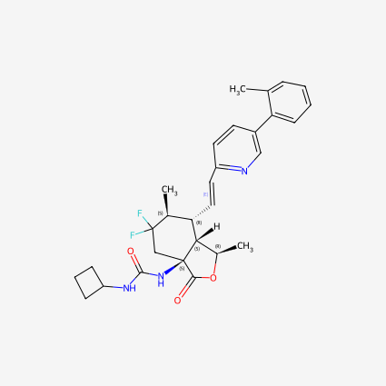 Cc1ccccc1-c1ccc(/C=C/[C@@H]2[C@@H]3[C@@H](C)OC(=O)[C@]3(NC(=O)NC3CCC3)CC(F)(F)[C@H]2C)nc1